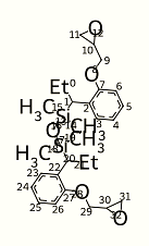 CCC(c1ccccc1OCC1CO1)[Si](C)(C)O[Si](C)(C)C(CC)c1ccccc1OCC1CO1